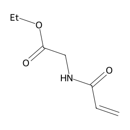 C=CC(=O)NCC(=O)OCC